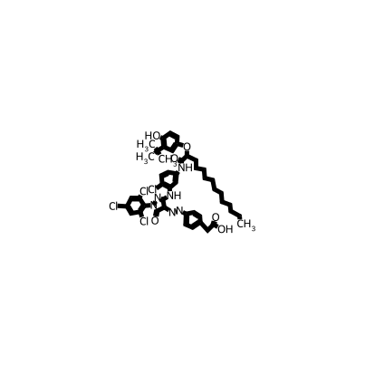 CCCCCCCCCCCCC(Oc1ccc(O)c(C(C)(C)C)c1)C(=O)Nc1ccc(Cl)c(NC2=NN(c3c(Cl)cc(Cl)cc3Cl)C(=O)C2N=Nc2ccc(CC(=O)O)cc2)c1